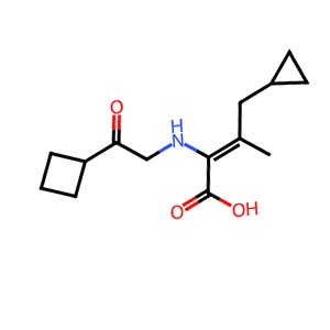 C/C(CC1CC1)=C(/NCC(=O)C1CCC1)C(=O)O